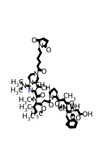 CC[C@H](C)[C@@H]([C@@H](CC(=O)N1CCC[C@H]1[C@H](OC)[C@@H](C)C(=O)N[C@@H](Cc1ccccc1)P(=O)(O)CC(=O)O)OC)N(C)C(=O)[C@@H](/N=C(/N(C)C)N1CCN(C(=O)CCCCCN2C(=O)C=CC2=O)CC1)C(C)C